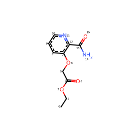 CCOC(=O)COc1cccnc1C(N)=O